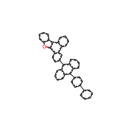 c1ccc(-c2ccc(-c3c4ccccc4c(-c4ccc5c(c4)c4ccccc4c4c6ccccc6oc54)c4ccccc34)cc2)cc1